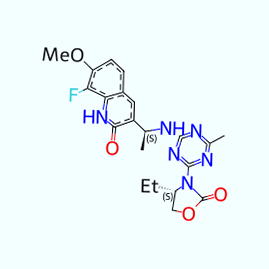 CC[C@H]1COC(=O)N1c1nc(C)nc(N[C@@H](C)c2cc3ccc(OC)c(F)c3[nH]c2=O)n1